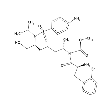 COC(=O)N(C(=O)[C@@H](N)Cc1ccccc1Br)[C@@H](C)CCC[C@@H](CO)N(C(C)C)S(=O)(=O)c1ccc(N)cc1